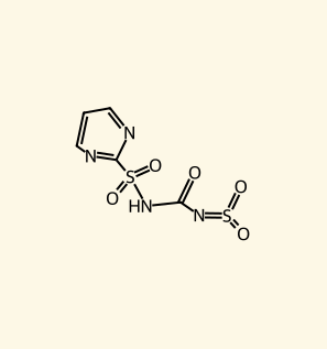 O=C(N=S(=O)=O)NS(=O)(=O)c1ncccn1